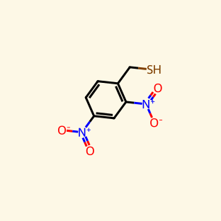 O=[N+]([O-])c1ccc(CS)c([N+](=O)[O-])c1